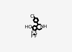 Oc1cc(SC(F)(F)F)c2c(c1)C(c1ccc(Cl)cc1)CNCC2